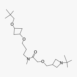 CN(CCCOC1CC(OCC(C)(C)C)C1)C(=O)COCC1CN(C(C)(C)C)C1